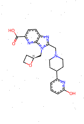 O=C(O)c1ccc2nc(CN3CCC(c4cccc(O)n4)CC3)n(C[C@@H]3CCO3)c2n1